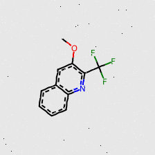 COc1cc2ccccc2nc1C(F)(F)F